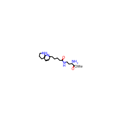 COC(=O)[C@@H](N)CCNC(=O)CCCCc1ccc2c(n1)NCCC2